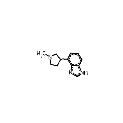 CN1CCC(c2cccc3[nH]cnc23)C1